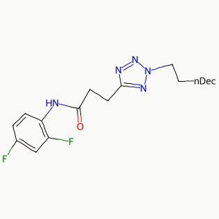 CCCCCCCCCCCCn1nnc(CCC(=O)Nc2ccc(F)cc2F)n1